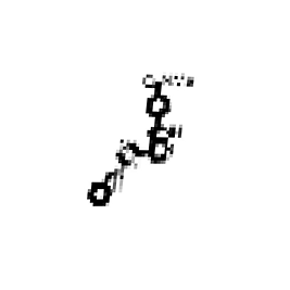 CNC(=O)C1CC=C(c2cc3c(-c4cncc(NCc5ccccc5)n4)ccnc3[nH]2)CC1